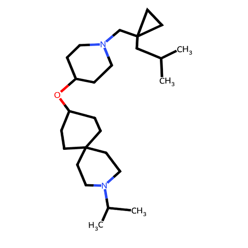 CC(C)CC1(CN2CCC(OC3CCC4(CC3)CCN(C(C)C)CC4)CC2)CC1